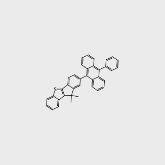 CC1(C)c2cc(-c3c4ccccc4c(-c4ccccc4)c4ccccc34)ccc2-c2sc3ccccc3c21